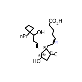 CCCC1(C(O)CC=C[C@@H]2[C@@H](C/C=C\CCCC(=O)O)[C@@H](Cl)C[C@H]2O)CCC1